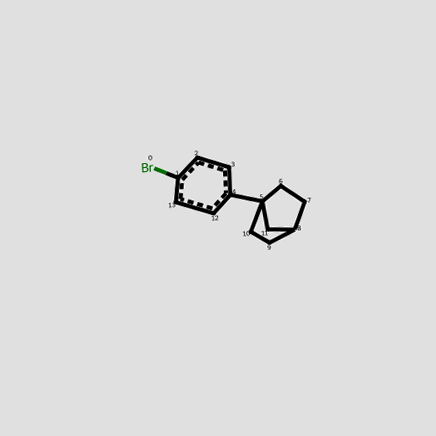 Brc1ccc(C23CCC(CC2)C3)cc1